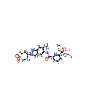 CC(C)(O)c1cccc(C(=O)Nc2cc3cn(C4CCS(=O)(=O)CC4)nc3cc2Cl)n1